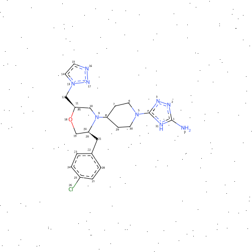 Nc1nnc(N2CCC(N3C[C@H](Cn4ccnn4)OC[C@@H]3Cc3ccc(Cl)cc3)CC2)[nH]1